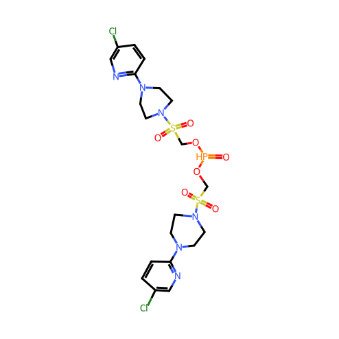 O=[PH](OCS(=O)(=O)N1CCN(c2ccc(Cl)cn2)CC1)OCS(=O)(=O)N1CCN(c2ccc(Cl)cn2)CC1